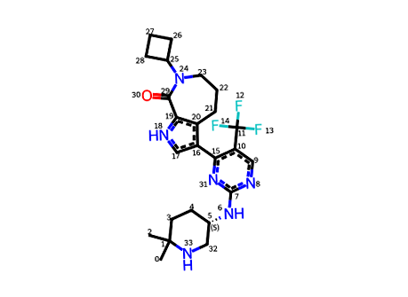 CC1(C)CC[C@H](Nc2ncc(C(F)(F)F)c(-c3c[nH]c4c3CCCN(C3CCC3)C4=O)n2)CN1